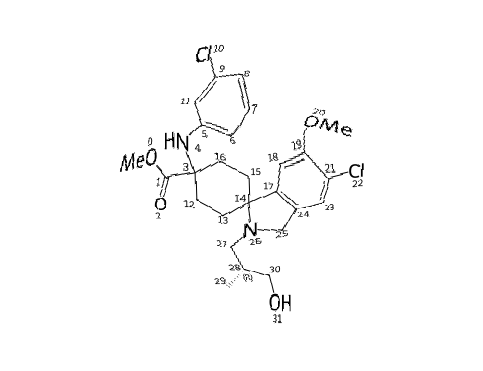 COC(=O)C1(Nc2cccc(Cl)c2)CCC2(CC1)c1cc(OC)c(Cl)cc1CN2C[C@@H](C)CO